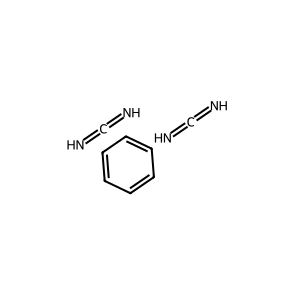 N=C=N.N=C=N.c1ccccc1